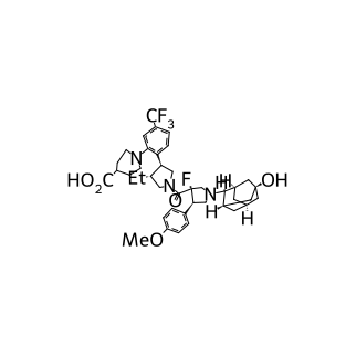 CC[C@H]1CN(C(=O)[C@]2(F)CN([C@@H]3[C@@H]4C[C@@H]5C[C@H]3C[C@@](O)(C5)C4)C[C@H]2c2ccc(OC)cc2)C[C@@H]1c1ccc(C(F)(F)F)cc1N1CCC(C(=O)O)CC1